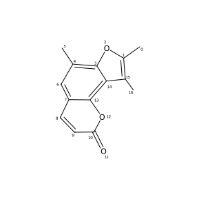 Cc1oc2c(C)cc3ccc(=O)oc3c2c1C